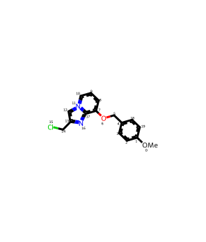 COc1ccc(COc2cccn3cc(CCl)nc23)cc1